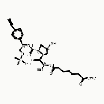 C#Cc1ccc([C@H](CO[Si](C)(C)C(C)(C)C)NC(=O)[C@@H]2C[C@@H](O)CN2C(=O)[C@@H](NC(=O)CCCCCC(=O)OC)C(C)(C)C)cc1